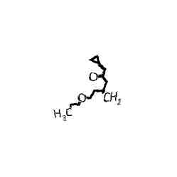 C=C(CCOCCC)CC(=O)C=C1CC1